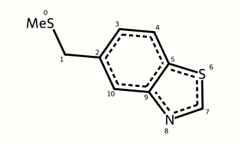 CSCc1ccc2scnc2c1